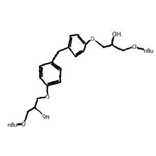 CCCCOCC(O)COc1ccc(Cc2ccc(OCC(O)COCCCC)cc2)cc1